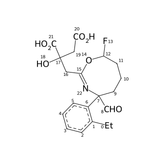 CCc1ccccc1C1(C=O)CCCC(F)O/C(CC(O)(CC(=O)O)C(=O)O)=N\1